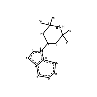 CC1(C)CC(n2ccc3ccccc32)CC(C)(C)N1